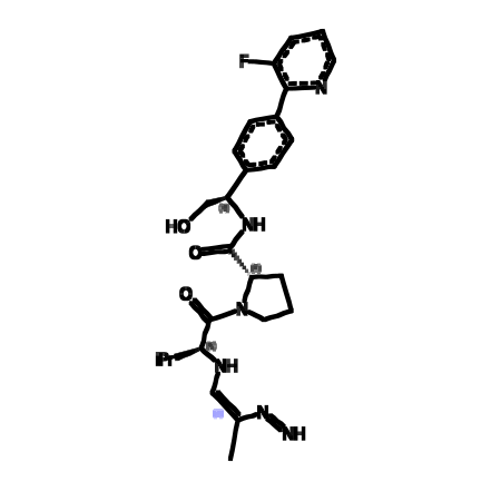 C/C(=C/N[C@H](C(=O)N1CCC[C@H]1C(=O)N[C@@H](CO)c1ccc(-c2ncccc2F)cc1)C(C)C)N=N